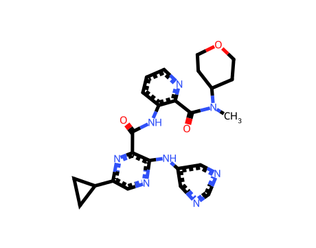 CN(C(=O)c1ncccc1NC(=O)c1nc(C2CC2)cnc1Nc1cncnc1)C1CCOCC1